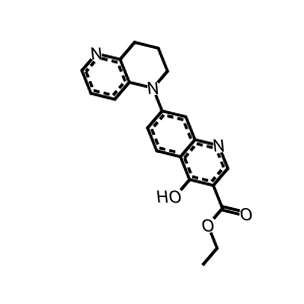 CCOC(=O)c1cnc2cc(N3CCCc4ncccc43)ccc2c1O